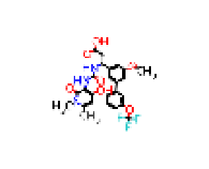 COc1cc(-c2cccc(OC(F)(F)F)c2)cc([C@H](CC(=O)O)NC(=O)Nc2c(O)cc(C)n(C)c2=O)c1